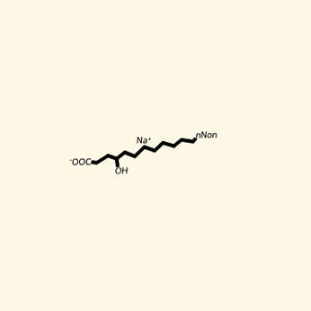 CCCCCCCCCCCCCCCCCC(O)CCC(=O)[O-].[Na+]